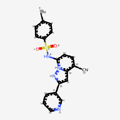 CC(C)(C)c1ccc(S(=O)(=O)Nc2ccc(C#N)c3cc(-c4cccnc4)nn23)cc1